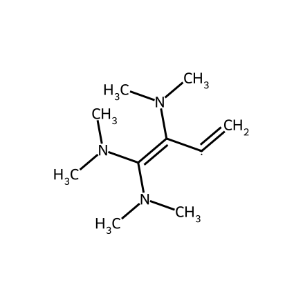 C=[C]C(=C(N(C)C)N(C)C)N(C)C